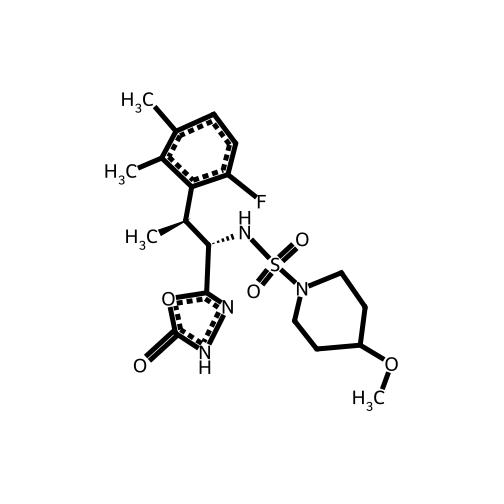 COC1CCN(S(=O)(=O)N[C@H](c2n[nH]c(=O)o2)[C@@H](C)c2c(F)ccc(C)c2C)CC1